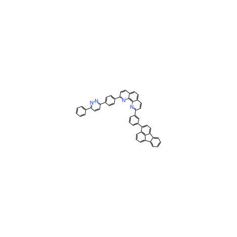 c1ccc(-c2ccc(-c3ccc(-c4ccc5ccc6ccc(-c7cccc(-c8ccc9c%10c(cccc8%10)-c8ccccc8-9)c7)nc6c5n4)cc3)nn2)cc1